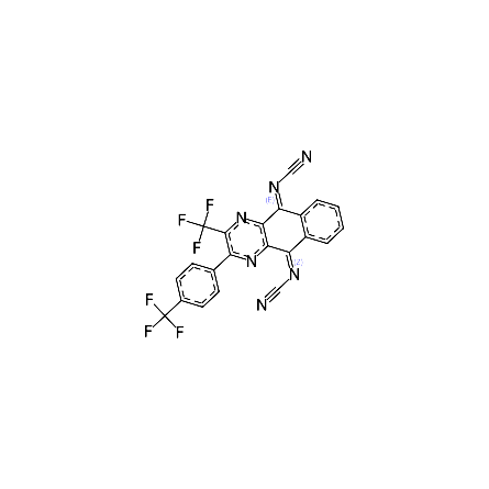 N#C/N=C1/c2ccccc2/C(=N\C#N)c2nc(C(F)(F)F)c(-c3ccc(C(F)(F)F)cc3)nc21